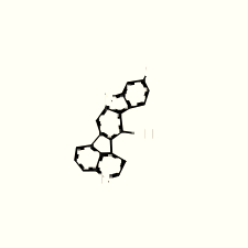 Cc1ccc2c(c1)[nH]c1cc3c(c(C)c12)-c1ccnc2cccc-3c12